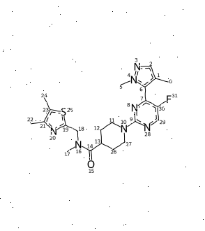 Cc1cnn(C)c1-c1nc(N2CCC(C(=O)N(C)Cc3nc(C)c(C)s3)CC2)ncc1F